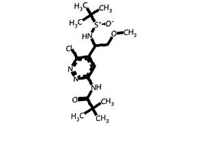 COCC(N[S@+]([O-])C(C)(C)C)c1cc(NC(=O)C(C)(C)C)nnc1Cl